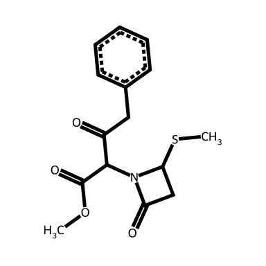 COC(=O)C(C(=O)Cc1ccccc1)N1C(=O)CC1SC